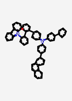 c1ccc(-c2ccc(N(c3ccc(-c4ccc5c(ccc6ccccc65)c4)cc3)c3ccc(-c4ccccc4-c4ccccc4-n4c5ccccc5c5ccccc54)cc3)cc2)cc1